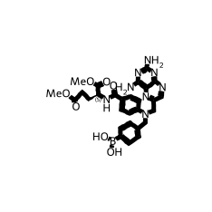 COC(=O)CC[C@H](NC(=O)c1ccc(N(Cc2ccc(B(O)O)cc2)Cc2cnc3nc(N)nc(N)c3n2)cc1)C(=O)OC